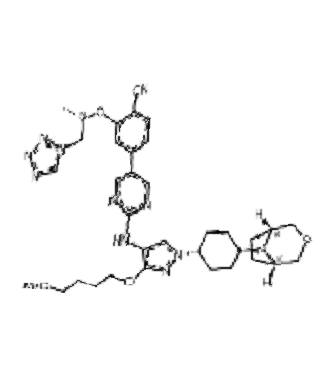 COCCCCOc1nn([C@H]2CC[C@H](N3[C@@H]4CC[C@H]3COC4)CC2)cc1Nc1ncc(-c2ccc(C#N)c(O[C@@H](C)Cn3cnnn3)c2)cn1